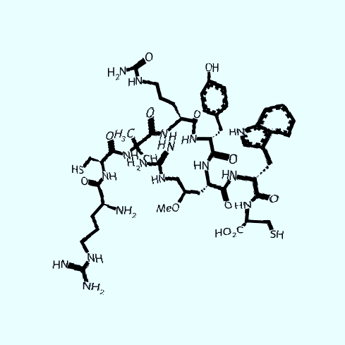 COC(CNC(=N)N)C[C@H](NC(=O)[C@@H](Cc1ccc(O)cc1)NC(=O)[C@H](CCCNC(N)=O)NC(=O)C(C)(C)NC(=O)[C@H](CS)NC(=O)[C@@H](N)CCCNC(=N)N)C(=O)N[C@H](Cc1c[nH]c2ccccc12)C(=O)N[C@@H](CS)C(=O)O